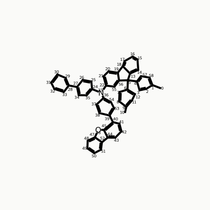 Cc1ccc(C2(c3ccc(C)cc3)c3ccccc3-c3ccc(N(c4ccc(-c5ccccc5)cc4)c4ccc(-c5cccc6c5oc5ccccc56)cc4)cc32)cc1